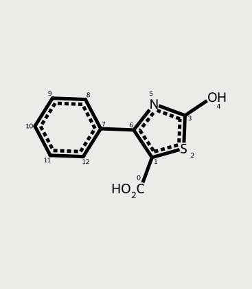 O=C(O)c1sc(O)nc1-c1ccccc1